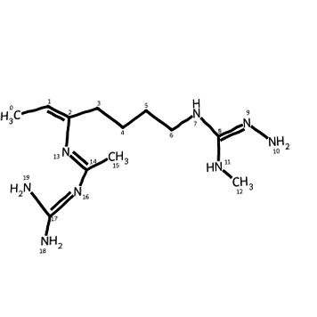 C/C=C(CCCCN/C(=N/N)NC)\N=C(/C)N=C(N)N